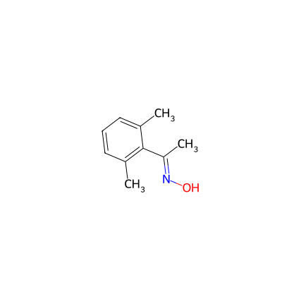 C/C(=N\O)c1c(C)cccc1C